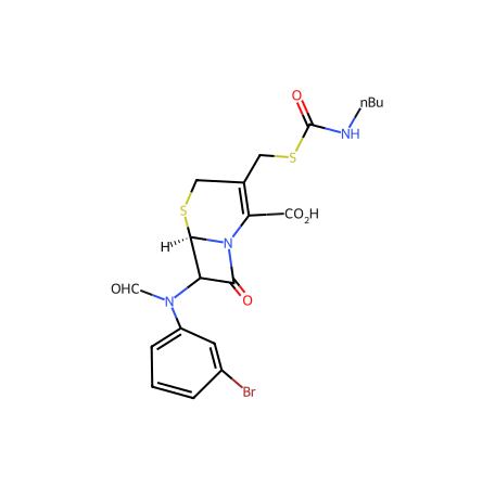 CCCCNC(=O)SCC1=C(C(=O)O)N2C(=O)C(N(C=O)c3cccc(Br)c3)[C@H]2SC1